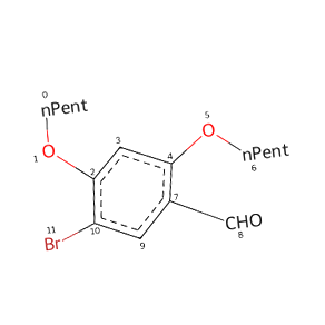 CCCCCOc1cc(OCCCCC)c(C=O)cc1Br